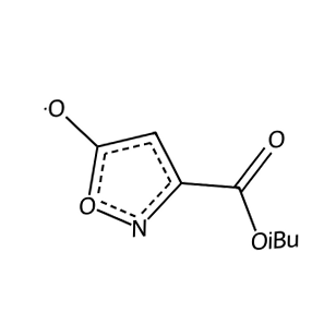 CC(C)COC(=O)c1cc([O])on1